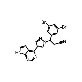 N#CCC(c1cc(Br)cc(Br)c1)n1cc(-c2ncnc3[nH]ccc23)cn1